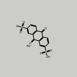 O=C1c2ccc(S(=O)(=O)[O-])cc2C(=O)c2cc(S(=O)(=O)O)ccc21.[Na+]